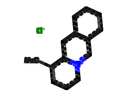 COc1ccc[n+]2cc3ccccc3cc12.[Cl-]